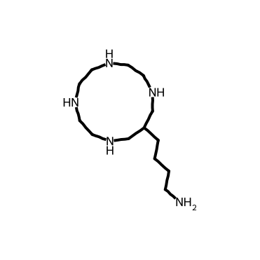 NCCCCC1CNCCNCCNCCNC1